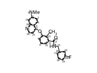 CNc1ccc2c(Oc3cccc(C(=O)NCc4cccc(F)c4)c3C)ccnc2c1